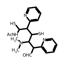 CC(=O)NC(S)C(c1ccccn1)C(S)C(C(C=O)c1ccccn1)N(C)C